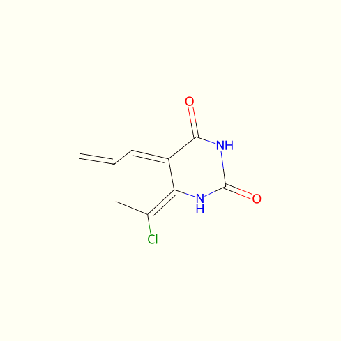 C=C/C=c1/c(=O)[nH]c(=O)[nH]/c1=C(/C)Cl